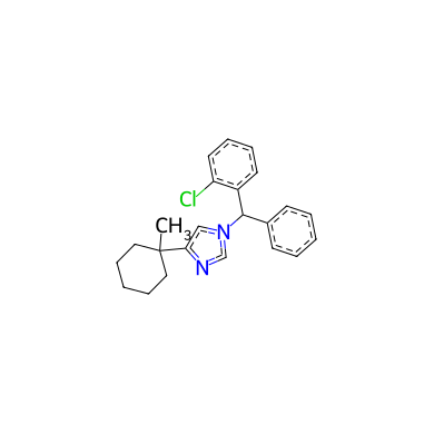 CC1(c2cn(C(c3ccccc3)c3ccccc3Cl)cn2)CCCCC1